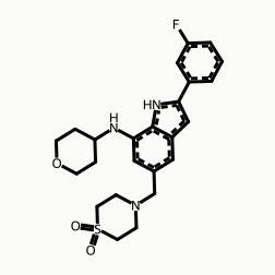 O=S1(=O)CCN(Cc2cc(NC3CCOCC3)c3[nH]c(-c4cccc(F)c4)cc3c2)CC1